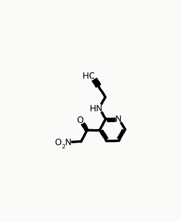 C#CCNc1ncccc1C(=O)C[N+](=O)[O-]